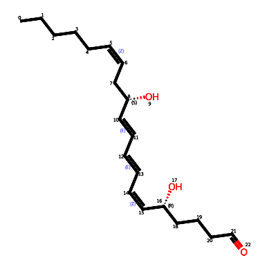 CCCCC/C=C\C[C@H](O)/C=C/C=C/C=C\[C@H](O)CCCC=O